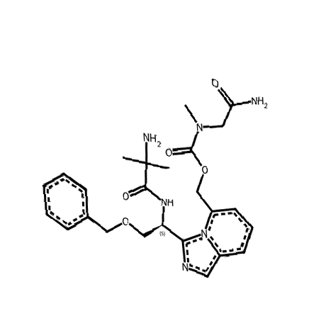 CN(CC(N)=O)C(=O)OCc1cccc2cnc([C@@H](COCc3ccccc3)NC(=O)C(C)(C)N)n12